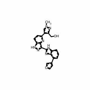 Cn1cc(-c2ccc3[nH]nc(-c4nc5c(-c6ccoc6)cccc5[nH]4)c3n2)c(CO)n1